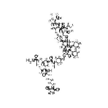 CC[C@H](C)[C@@H]([C@@H](CC(=O)N1CCC[C@H]1[C@H](OC)[C@@H](C)C(=O)N[C@H](c1ccccc1)[C@H](NC(=O)OCc1ccc(NC(=O)[C@H](CCCNC(N)=O)CC(=O)[C@@H](NC(=O)CCCCCN2C(=O)C=CC2=O)C(C)C)cc1)c1ccccc1)OC)N(C)C(=O)[C@@H](NC(=O)[C@H](C(C)C)N(C)C)C(C)C